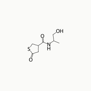 CC(CO)NC(=O)C1CSC(=O)C1